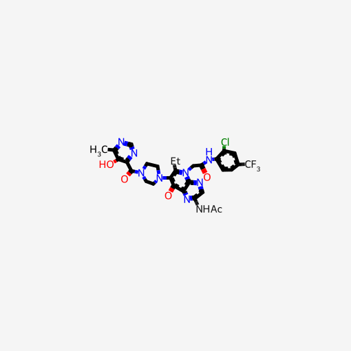 CCc1c(N2CCN(C(=O)c3ncnc(C)c3O)CC2)c(=O)c2nc(NC(C)=O)cnc2n1CC(=O)Nc1ccc(C(F)(F)F)cc1Cl